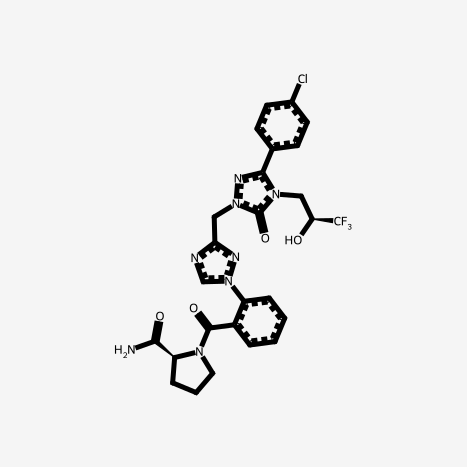 NC(=O)[C@@H]1CCCN1C(=O)c1ccccc1-n1cnc(Cn2nc(-c3ccc(Cl)cc3)n(C[C@H](O)C(F)(F)F)c2=O)n1